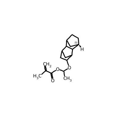 C=C(C)C(=O)OC(C)OC1CC2CC1C1C2C2CC[C@H]1C2